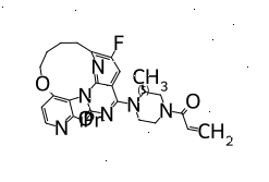 C=CC(=O)N1CCN(c2nc(=O)n3c4nc(c(F)cc24)CCCCOc2ccnc(C(C)C)c2-3)[C@@H](C)C1